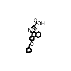 O=C(O)c1cc2ncc(-c3ccc(OCc4ccccc4)cc3)c(C3CCCCC3)n2n1